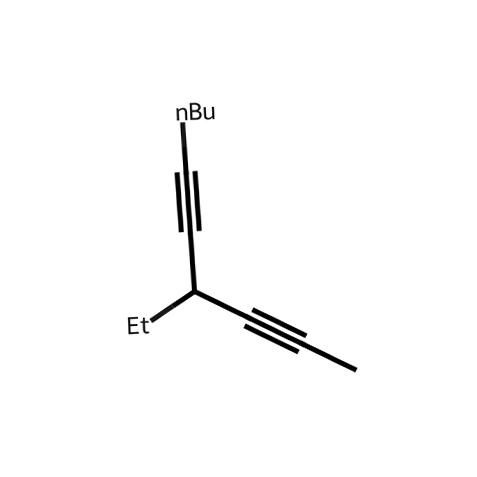 CC#CC(C#CC[CH]CC)CC